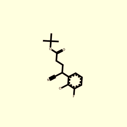 CC(C)(C)OC(=O)CCC(C#N)c1cccc(F)c1Cl